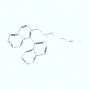 OCCOCCCc1ccc2ccccc2c1-c1cccc2ccccc12